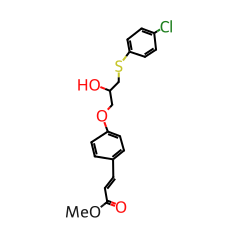 COC(=O)C=Cc1ccc(OCC(O)CSc2ccc(Cl)cc2)cc1